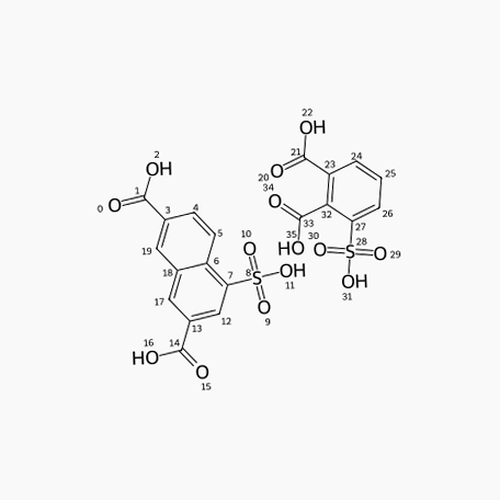 O=C(O)c1ccc2c(S(=O)(=O)O)cc(C(=O)O)cc2c1.O=C(O)c1cccc(S(=O)(=O)O)c1C(=O)O